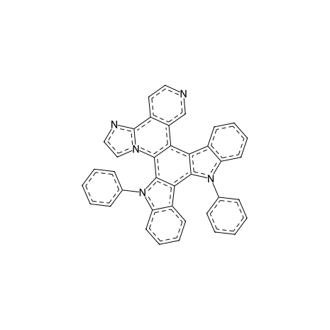 c1ccc(-n2c3ccccc3c3c4c5cnccc5c5nccn5c4c4c(c5ccccc5n4-c4ccccc4)c32)cc1